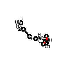 Cn1c(=O)n(C2CCC(=O)NC2=O)c2ccc(C#CC3CCN(C[C@H]4CC[C@H](NC(=O)[C@@H]5NC6(CCCCC6)[C@@]6(C(=O)Nc7cc(Cl)ccc76)[C@H]5c5cccc(Cl)c5F)CC4)CC3)cc21